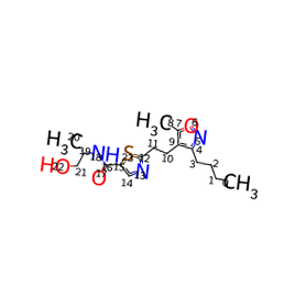 CCCCc1noc(C)c1CCc1ncc(C(=O)N[C@@H](C)CO)s1